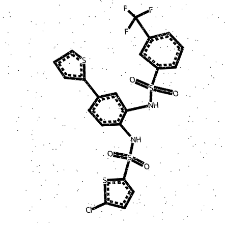 O=S(=O)(Nc1cc(-c2cccs2)ccc1NS(=O)(=O)c1ccc(Cl)s1)c1cccc(C(F)(F)F)c1